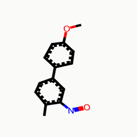 COc1ccc(-c2ccc(C)c(N=O)c2)cc1